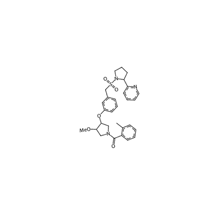 COC1CN(C(=O)c2ccccc2C)CC1Oc1cccc(CS(=O)(=O)N2CCCC2c2ccccn2)c1